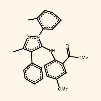 COC(=O)c1cc(OC)ccc1Nc1c(-c2ccccc2)c(C)nn1-c1ccccc1C